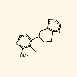 CNc1nccc(N2CCc3ncccc3C2)c1F